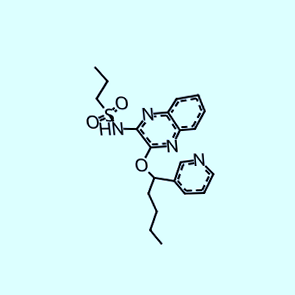 CCCCC(Oc1nc2ccccc2nc1NS(=O)(=O)CCC)c1cccnc1